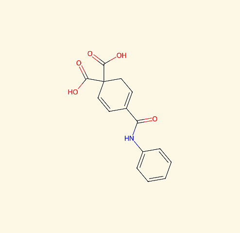 O=C(Nc1ccccc1)C1=CCC(C(=O)O)(C(=O)O)C=C1